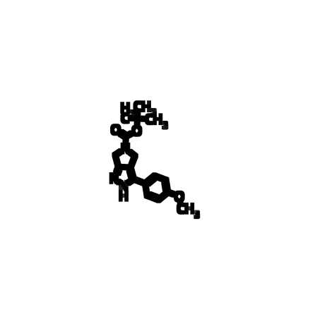 COc1ccc(-c2[nH]nc3c2CN(C(=O)OC(C)(C)C)C3)cc1